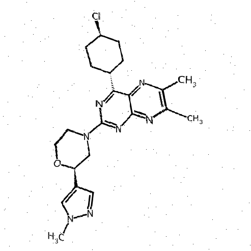 Cc1nc2nc(N3CCO[C@H](c4cnn(C)c4)C3)nc([C@H]3CC[C@H](Cl)CC3)c2nc1C